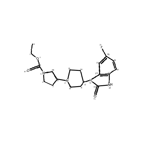 CCOC(=O)N1CCC(N2CCC(n3c(=O)[nH]c4ccc(F)cc43)CC2)C1